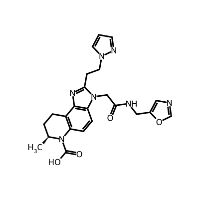 C[C@H]1CCc2c(ccc3c2nc(CCn2cccn2)n3CC(=O)NCc2cnco2)N1C(=O)O